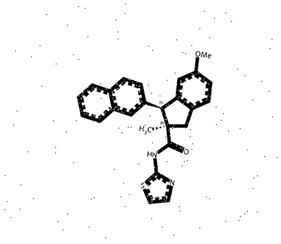 COc1ccc2c(c1)[C@H](c1ccc3ccccc3c1)[C@](C)(C(=O)Nc1nccs1)C2